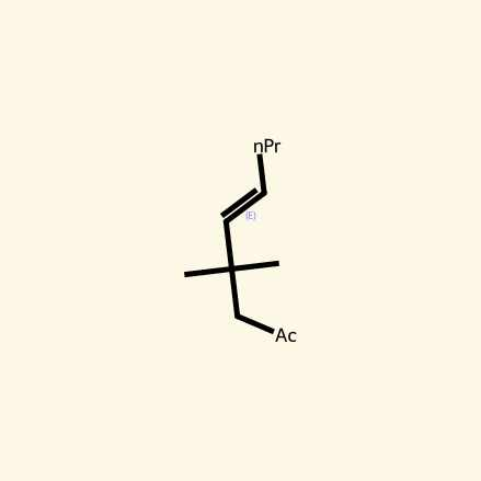 CCC/C=C/C(C)(C)CC(C)=O